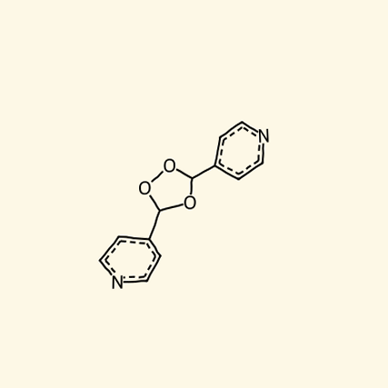 c1cc(C2OOC(c3ccncc3)O2)ccn1